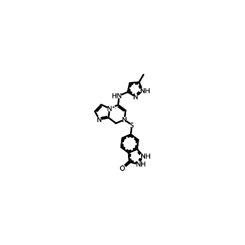 Cc1cc(NC2=CN(Sc3ccc4c(=O)[nH][nH]c4c3)CC3=NC=C[N+]23)n[nH]1